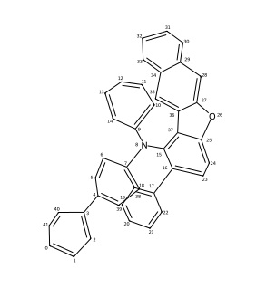 c1ccc(-c2ccc(N(c3ccccc3)c3c(-c4ccccc4)ccc4oc5cc6ccccc6cc5c34)cc2)cc1